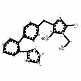 CCCCc1nc(Cc2ccc(-c3ccccc3-c3nnn[nH]3)cc2)c(C(=O)O)n1CO